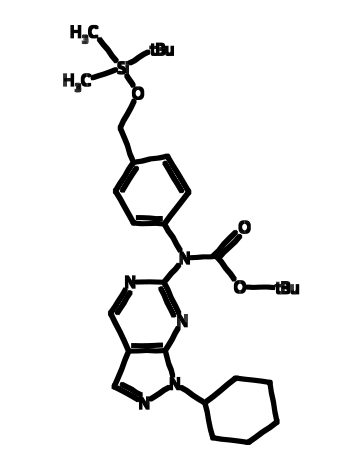 CC(C)(C)OC(=O)N(c1ccc(CO[Si](C)(C)C(C)(C)C)cc1)c1ncc2cnn(C3CCCCC3)c2n1